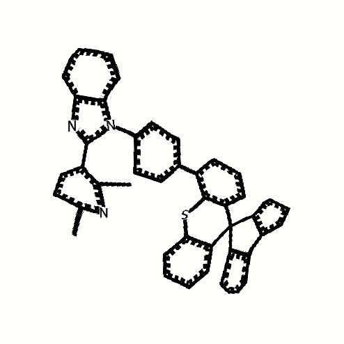 Cc1ccc(-c2nc3ccccc3n2-c2ccc(-c3cccc4c3Sc3ccccc3C43c4ccccc4-c4ccccc43)cc2)c(C)n1